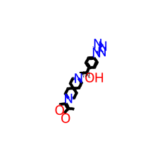 CC1=C(N2CCC3(CCN(C[C@@H](O)c4ccc(-n5cnnn5)cc4)CC3)CC2)COC1=O